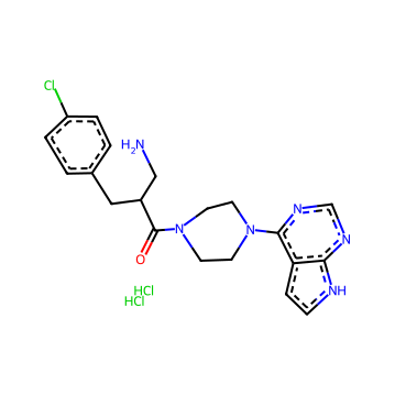 Cl.Cl.NCC(Cc1ccc(Cl)cc1)C(=O)N1CCN(c2ncnc3[nH]ccc23)CC1